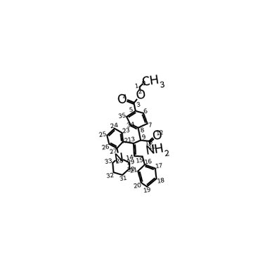 CCOC(=O)c1ccc(C(C(N)=O)C(=CCc2ccccc2)c2ccccc2N2CCCCC2)cc1